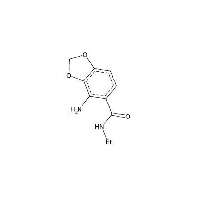 CCNC(=O)c1ccc2c(c1N)OCO2